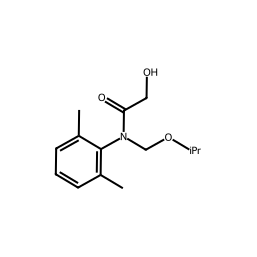 Cc1cccc(C)c1N(COC(C)C)C(=O)CO